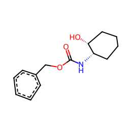 O=C(N[C@H]1CCCC[C@H]1O)OCc1ccccc1